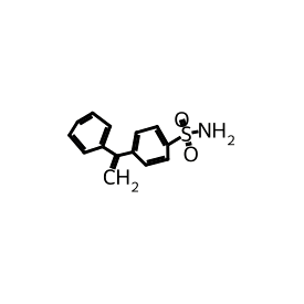 C=C(c1ccccc1)c1ccc(S(N)(=O)=O)cc1